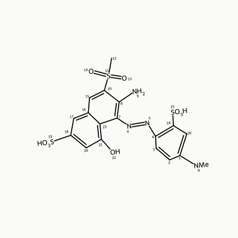 CNc1ccc(/N=N/c2c(N)c(S(C)(=O)=O)cc3cc(S(=O)(=O)O)cc(O)c23)c(S(=O)(=O)O)c1